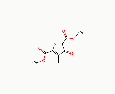 CCCOC(=O)C1=C(C)C(=O)C(C(=O)OCCC)S1